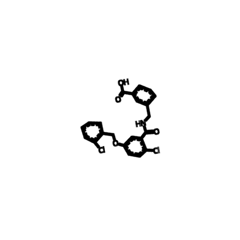 O=C(O)c1cccc(CNC(=O)c2cc(OCc3ccccc3Cl)ccc2Cl)c1